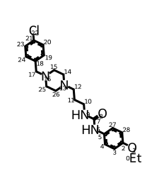 CCOc1ccc(NC(=O)NCCCN2CCN(Cc3ccc(Cl)cc3)CC2)cc1